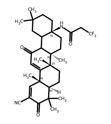 CC1(C)CC[C@]2(NC(=O)CC(F)(F)F)CC[C@]3(C)C(C(=O)C=C4[C@@]5(C)C=C(C#N)C(=O)C(C)(C)[C@@H]5CC[C@]43C)C2C1